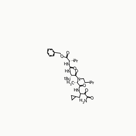 CC(C)CCN(C(=O)[C@@H](NC(=O)N[C@H](C(=O)OCc1ccccc1)C(C)C)C(C)(C)C)[C@@H](C)C(=O)NC(CC1CC1)C(=O)C(N)=O